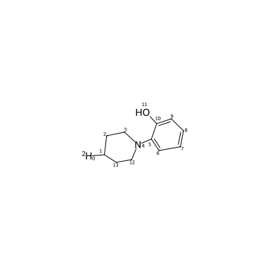 [2H]C1CCN(c2ccccc2O)CC1